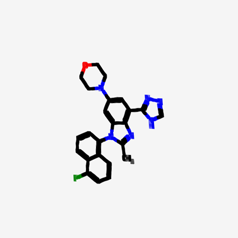 Cc1nc2c(-c3nnc[nH]3)cc(N3CCOCC3)cc2n1-c1cccc2c(F)cccc12